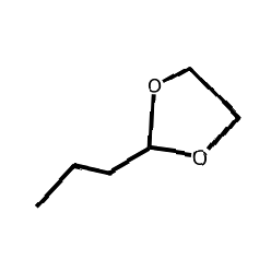 CCCC1OCCO1